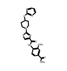 COC(=O)c1ccc(NC(=O)c2csc(N3CCC(Oc4ncccn4)CC3)n2)c(OC)c1